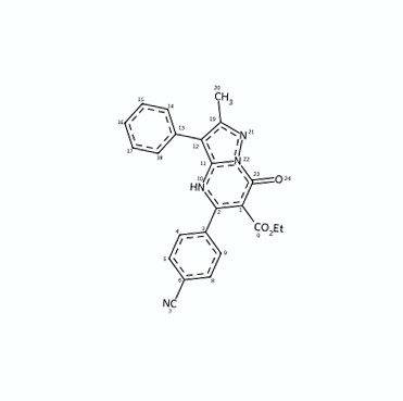 CCOC(=O)c1c(-c2ccc(C#N)cc2)[nH]c2c(-c3ccccc3)c(C)nn2c1=O